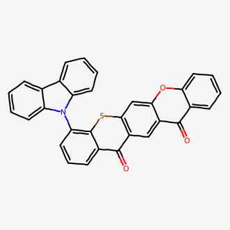 O=c1c2ccccc2oc2cc3sc4c(-n5c6ccccc6c6ccccc65)cccc4c(=O)c3cc12